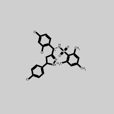 Cc1cc(C)c(S(=O)(=O)N[C@H](C2=NNC(c3ccc(Cl)cc3)C2)c2ccc(Cl)cc2Cl)c(C)c1